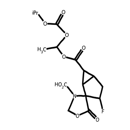 CC(C)OC(=O)OC(C)OC(=O)C1C2CC(F)C3(C(=O)OCN3C(=O)O)C21